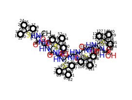 CC(=O)N[C@@H](CCSC(c1ccccc1)(c1ccccc1)c1ccccc1)C(=O)NCC(=O)N[C@@H](CSC(c1ccccc1)(c1ccccc1)c1ccccc1)C(=O)NCC(=O)N[C@@H](CSC(c1ccccc1)(c1ccccc1)c1ccccc1)C(=O)NCC(=O)N[C@@H](CSC(c1ccccc1)(c1ccccc1)c1ccccc1)C(=O)NCC(=O)N[C@@H](CSC(c1ccccc1)(c1ccccc1)c1ccccc1)C(=O)NCC(=O)O